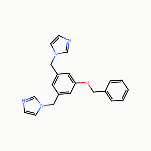 c1ccc(COc2cc(Cn3ccnc3)cc(Cn3ccnc3)c2)cc1